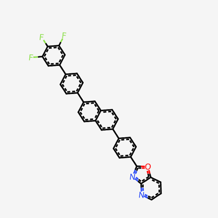 Fc1cc(-c2ccc(-c3ccc4cc(-c5ccc(-c6nc7ncccc7o6)cc5)ccc4c3)cc2)cc(F)c1F